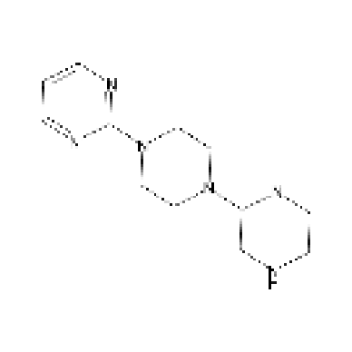 c1cnc(N2CCN(C3CNCC[N]3)CC2)nc1